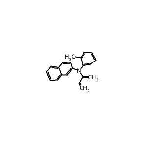 C=CC(=C)N(c1ccc2ccccc2c1)c1ccccc1C